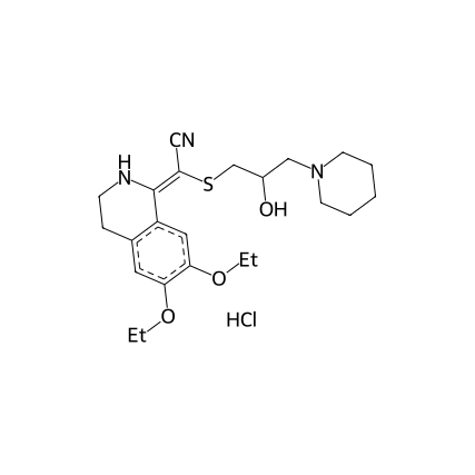 CCOc1cc2c(cc1OCC)C(=C(C#N)SCC(O)CN1CCCCC1)NCC2.Cl